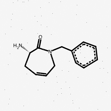 N[C@H]1CC=CCN(Cc2ccccc2)C1=O